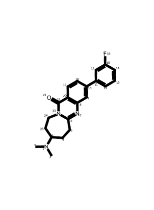 CN(C)C1CCc2nc3cc(-c4cccc(F)c4)ccc3c(=O)n2CC1